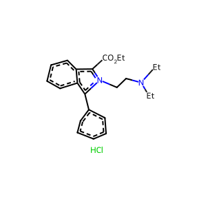 CCOC(=O)c1c2ccccc2c(-c2ccccc2)n1CCN(CC)CC.Cl